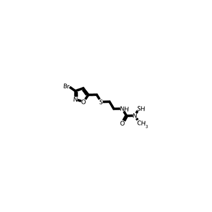 CN(S)C(=O)NCCSCc1cc(Br)no1